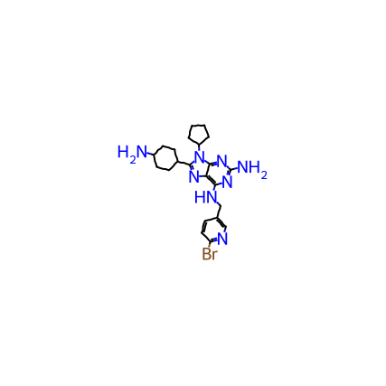 Nc1nc(NCc2ccc(Br)nc2)c2nc(C3CCC(N)CC3)n(C3CCCC3)c2n1